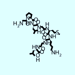 CSCC[C@H](NC(=O)CNC(=O)[C@H](CC(C)C)NC(=O)[C@@H]1CCCN1C(=O)CN)C(=O)N[C@@H](CCCCN)C(=O)NCC(=O)N[C@@H](CC(C)C)C(=O)O